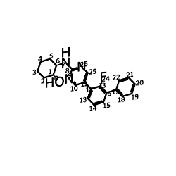 O[C@@H]1CCCC[C@H]1Nc1ncc(-c2cccc(-c3ccccc3)c2F)cn1